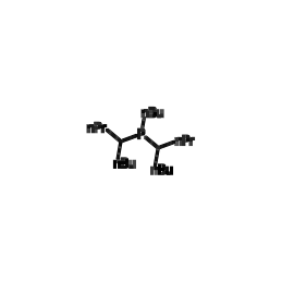 CCCCC(CCC)P(CCCC)C(CCC)CCCC